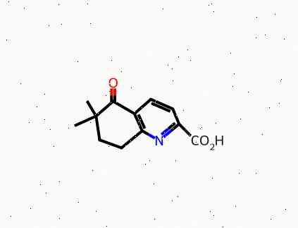 CC1(C)CCc2nc(C(=O)O)ccc2C1=O